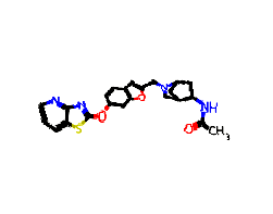 CC(=O)NC1CC2CC1CN2Cc1cc2ccc(Oc3nc4ncccc4s3)cc2o1